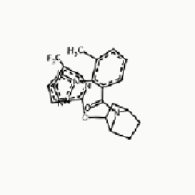 Cc1cccc(C(=O)N2C3CCC2C(Oc2ncc(C(F)(F)F)cn2)C3)c1-n1nccn1